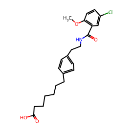 COc1ccc(Cl)cc1C(=O)NCCc1ccc(CCCCCCC(=O)O)cc1